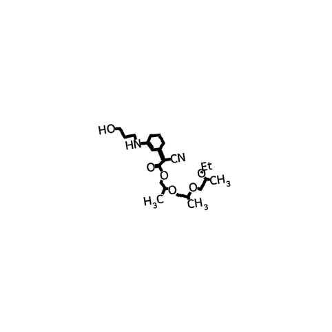 CCOC(C)COC(C)COC(C)COC(=O)/C(C#N)=C1\C=C(NCCCO)CCC1